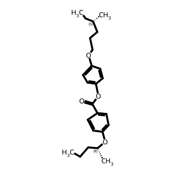 CCC[C@@H](C)Oc1ccc(C(=O)Oc2ccc(OCCC[C@@H](C)CC)cc2)cc1